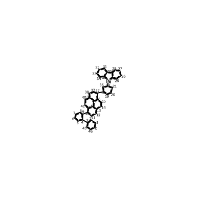 c1ccc(-c2ccccc2-c2ccc3ccc4c(-c5cccc(-n6c7ccccc7c7ccccc76)c5)ccc5ccc2c3c54)cc1